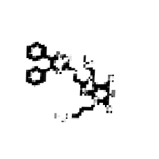 CCCCn1c(=O)[nH]c(=O)c2c1nc(CSc1nnc(-c3ccccc3)c(-c3ccccc3)n1)n2CC